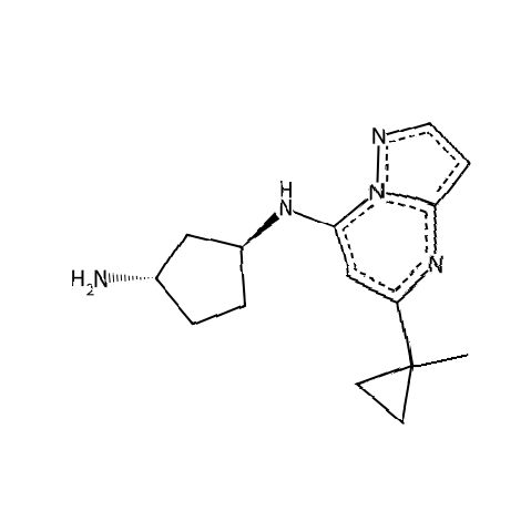 CC1(c2cc(N[C@H]3CC[C@H](N)C3)n3nccc3n2)CC1